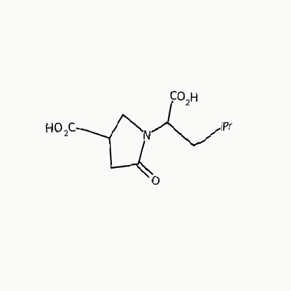 CC(C)CC(C(=O)O)N1CC(C(=O)O)CC1=O